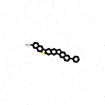 Cc1ccc2cc3c(cc2c1)sc1cc2cc4c(cc2cc13)Cc1cc2cc(-c3ccccc3)ccc2cc1-4